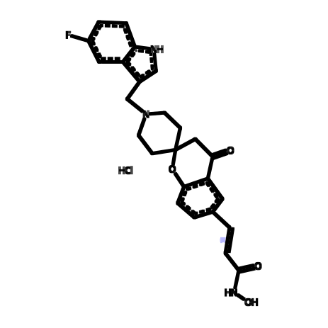 Cl.O=C(/C=C/c1ccc2c(c1)C(=O)CC1(CCN(Cc3c[nH]c4ccc(F)cc34)CC1)O2)NO